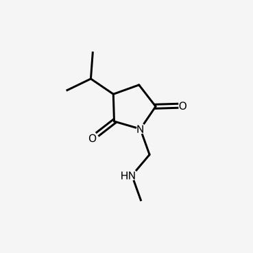 CNCN1C(=O)CC(C(C)C)C1=O